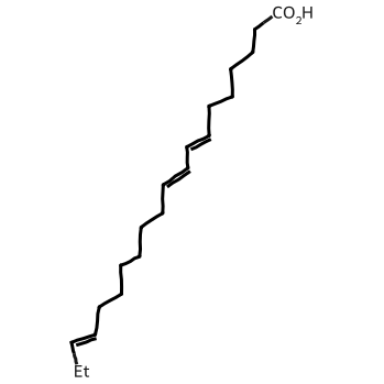 CCC=CCCCCCCC=CC=CCCCCCC(=O)O